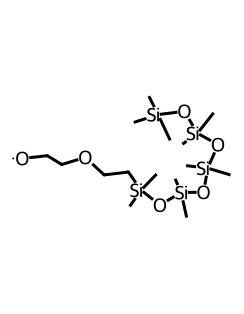 C[Si](C)(C)O[Si](C)(C)O[Si](C)(C)O[Si](C)(C)O[Si](C)(C)CCOCC[O]